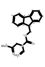 C=CN(CC(=O)OC)C(=O)OCC1c2ccccc2-c2ccccc21